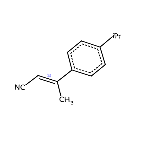 C/C(=C\C#N)c1ccc(C(C)C)cc1